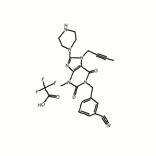 CC#CCn1c(N2CCNCC2)nc2c1c(=O)n(Cc1cccc(C#N)c1)c(=O)n2C.O=C(O)C(F)(F)F